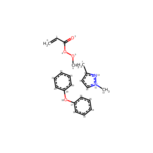 C=CC(=O)OOC.Cc1ccn(C)n1.c1ccc(Oc2ccccc2)cc1